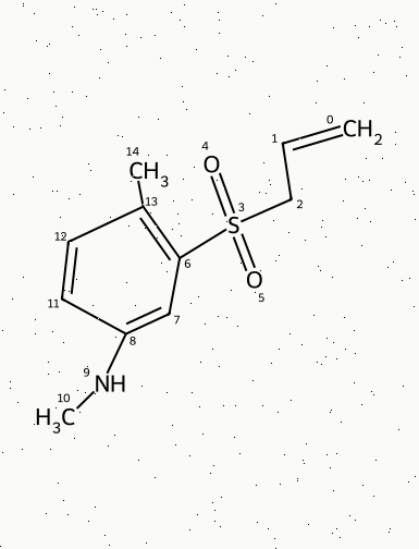 C=CCS(=O)(=O)c1cc(NC)ccc1C